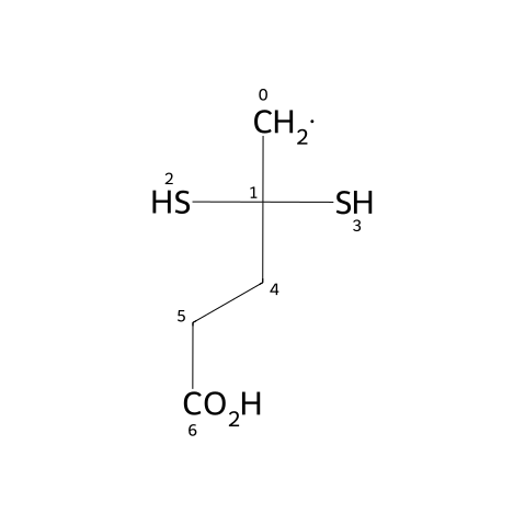 [CH2]C(S)(S)CCC(=O)O